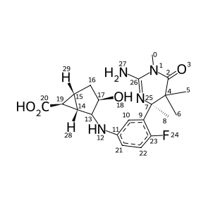 CN1C(=O)C(C)(C)[C@@](C)(c2cc(NC3[C@H]4[C@@H](C[C@H]3O)[C@@H]4C(=O)O)ccc2F)N=C1N